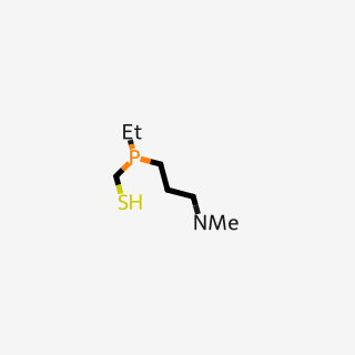 CCP(CS)CCCNC